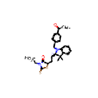 COC(=O)c1ccc(CN2/C(=C/CC3SC(=S)N(CC(=O)O)C3=O)C(C)(C)c3ccccc32)cc1